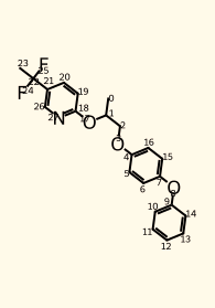 CC(COc1ccc(Oc2ccccc2)cc1)Oc1ccc(C(C)(F)F)cn1